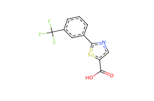 O=C(O)c1cnc(-c2cccc(C(F)(F)F)c2)s1